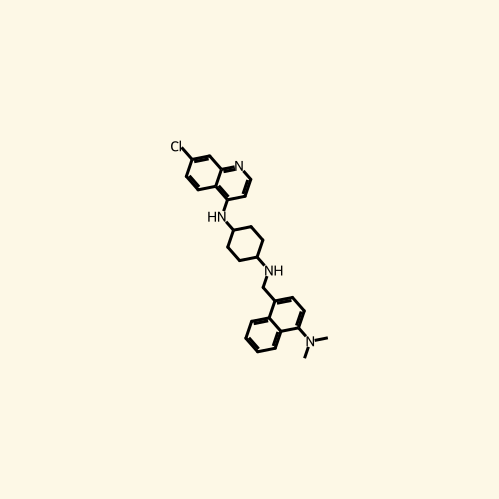 CN(C)c1ccc(CNC2CCC(Nc3ccnc4cc(Cl)ccc34)CC2)c2ccccc12